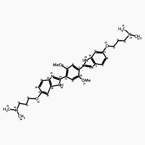 COc1cc(-c2nc3ccc(OCCCN(C)C)cc3[nH]2)c(OC)cc1-c1nc2ccc(OCCCN(C)C)cc2[nH]1